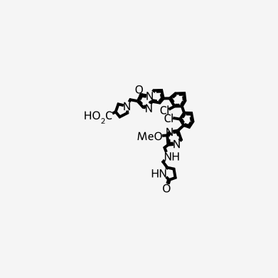 COc1nc(-c2cccc(-c3cccc(-c4ccn5c(=O)c(CN6CCC(C(=O)O)C6)cnc5c4)c3Cl)c2Cl)cnc1CNCC1CCC(=O)N1